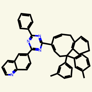 Cc1cccc(C2(c3cccc(C)c3)C/C=C(c3nc(-c4ccccc4)nc(-c4ccc5ncccc5c4)n3)\C=C/CC3=C2CCC=C3)c1